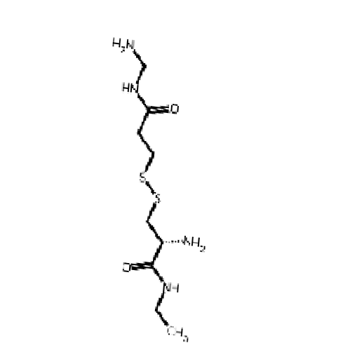 CCNC(=O)[C@@H](N)CSSCCC(=O)NCN